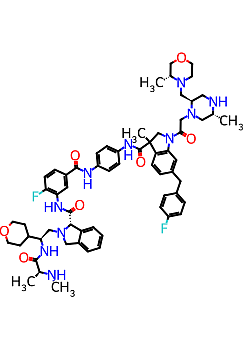 CN[C@@H](C)C(=O)N[C@H](CN1Cc2ccccc2[C@H]1C(=O)Nc1cc(C(=O)Nc2ccc(NC(=O)C3(C)CN(C(=O)CN4C[C@@H](C)NC[C@@H]4CN4CCOC[C@H]4C)c4cc(Cc5ccc(F)cc5)ccc43)cc2)ccc1F)C1CCOCC1